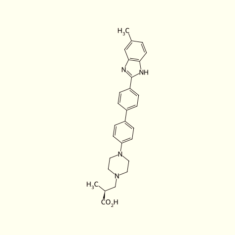 Cc1ccc2[nH]c(-c3ccc(-c4ccc(N5CCN(C[C@H](C)C(=O)O)CC5)cc4)cc3)nc2c1